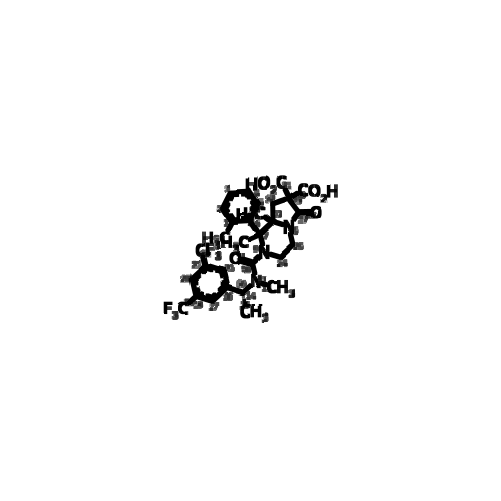 Cc1ccccc1C1(C)N(C(=O)N(C)[C@H](C)c2cc(C(F)(F)F)cc(C(F)(F)F)c2)CCN2C(=O)C(C(=O)O)(C(=O)O)CC21C